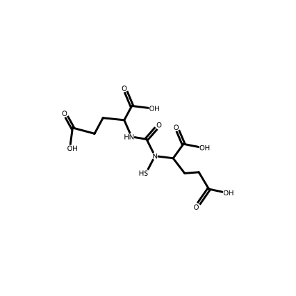 O=C(O)CCC(NC(=O)N(S)C(CCC(=O)O)C(=O)O)C(=O)O